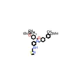 COc1ccc([C@H]2CC[C@H](CN(c3cccc(NCc4nccs4)c3)C(=O)[C@H]3CC[C@H](O[Si](C)(C)C(C)(C)C)CC3)CC2)cc1C